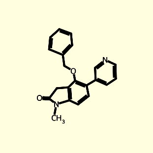 CN1C(=O)Cc2c1ccc(-c1cccnc1)c2OCc1ccccc1